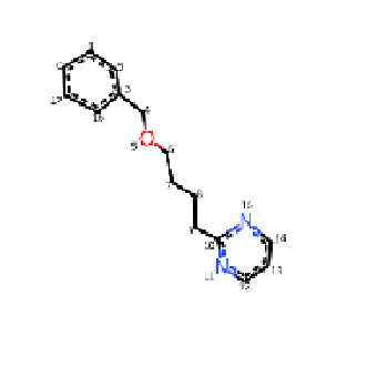 c1ccc(COCCCCc2ncccn2)cc1